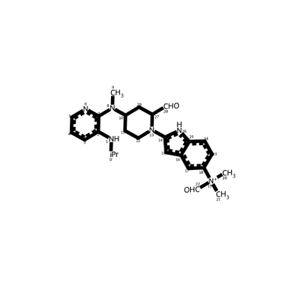 CC(C)Nc1cccnc1N(C)C1CCN(c2cc3cc([N+](C)(C)C=O)ccc3[nH]2)C(C=O)C1